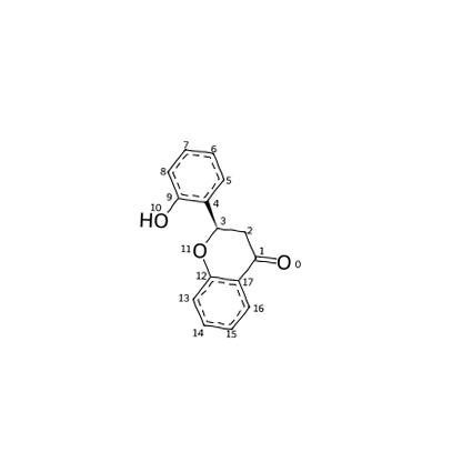 O=C1C[C@H](c2ccccc2O)Oc2ccccc21